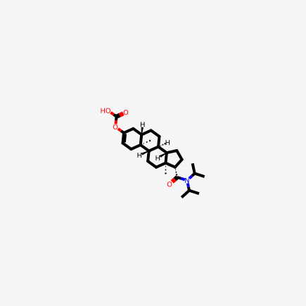 CC(C)N(C(=O)[C@H]1CC[C@H]2[C@@H]3CC[C@H]4CC(OC(=O)O)=CC[C@]4(C)[C@H]3CC[C@]12C)C(C)C